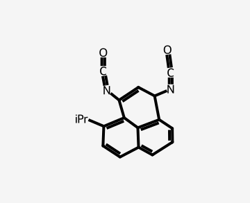 CC(C)c1ccc2cccc3c2c1C(N=C=O)=CC3N=C=O